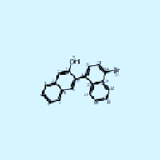 Oc1cc2ccccc2cc1-c1ccc(Br)c2ccccc12